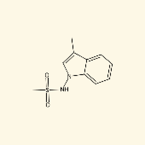 Cc1cn(NS(C)(=O)=O)c2ccccc12